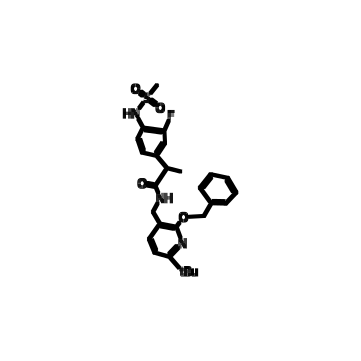 CC(C(=O)NCc1ccc(C(C)(C)C)nc1OCc1ccccc1)c1ccc(NS(C)(=O)=O)c(F)c1